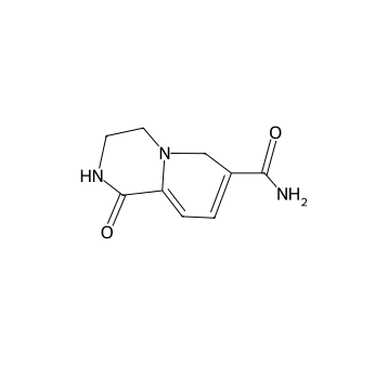 NC(=O)C1=CC=C2C(=O)NCCN2C1